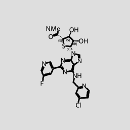 CNC(=O)[C@H]1S[C@@H](n2cnc3c(NCc4cc(Cl)ccn4)nc(-c4cncc(F)c4)nc32)[C@H](O)[C@@H]1O